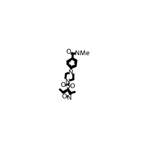 CNC(=O)c1ccc(N2CCN(S(=O)(=O)c3c(C)noc3C)CC2)cc1